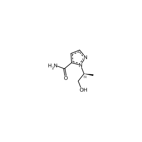 C[C@@H](CO)n1nccc1C(N)=O